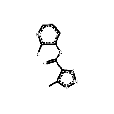 Cc1nnsc1C(=O)Oc1cccnc1Cl